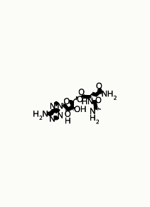 C[C@H](N)C(=O)N[C@@H](CCC(N)=O)C(=O)OC[C@H]1O[C@@H](n2cnc3c(N)ncnc32)[C@H](O)[C@@H]1O